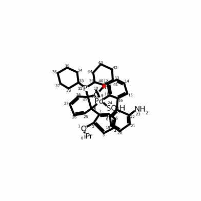 CC(C)Oc1ccccc1[C]1([Pd]([CH3])([c]2ccccc2-c2ccccc2N)[S](=O)(=O)O)C=CC=CC1(OC(C)C)P(C1CCCCC1)C1CCCCC1